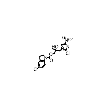 CC(O)(COC(=O)N1CCc2cc(Cl)ccc21)Cn1cc([N+](=O)[O-])nc1Cl